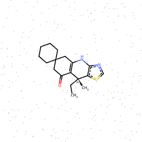 CC[C@]1(C)C2=C(CC3(CCCCC3)CC2=O)Nc2ncsc21